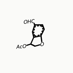 CC(=O)OC1COc2ccc(C=O)cc21